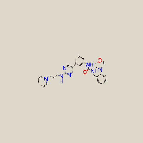 O=C(NCc1ccccc1N1CCOCC1)Nc1cccc(-c2cnc(NCCCN3CCCCC3)nc2)c1